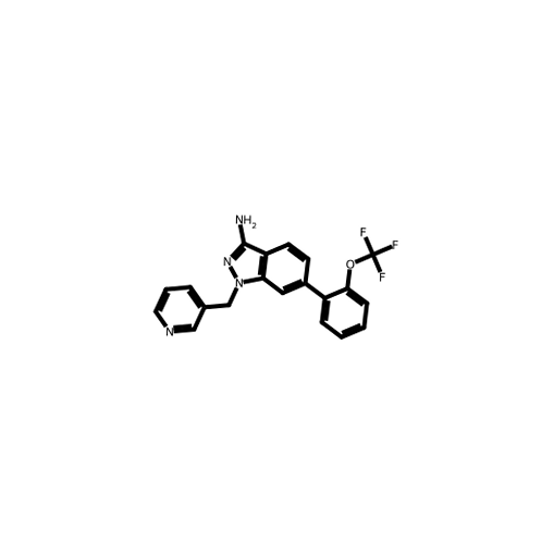 Nc1nn(Cc2cccnc2)c2cc(-c3ccccc3OC(F)(F)F)ccc12